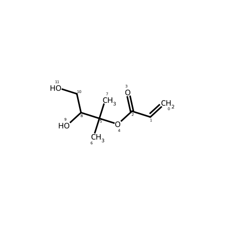 C=CC(=O)OC(C)(C)C(O)CO